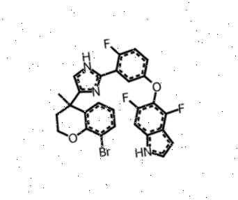 CC1(c2c[nH]c(-c3cc(Oc4c(F)cc5[nH]ccc5c4F)ccc3F)n2)CCOc2c(Br)cccc21